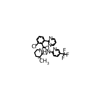 C[C@@H]1CCCN(C(=O)c2c(Cl)cccc2-c2ncccn2)[C@@H]1CNc1ccc(C(F)(F)F)cn1